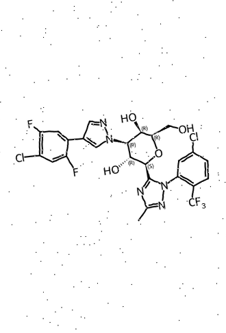 Cc1nc([C@@H]2O[C@H](CO)[C@H](O)[C@H](n3cc(-c4cc(F)c(Cl)cc4F)cn3)[C@H]2O)n(-c2cc(Cl)ccc2C(F)(F)F)n1